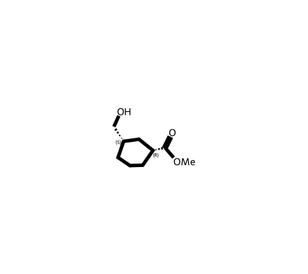 COC(=O)[C@@H]1CCC[C@H](CO)C1